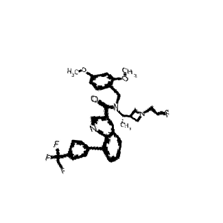 COc1ccc(CN(C(=O)c2cnc3c(-c4ccc(C(F)(F)F)cc4)cccc3c2)[C@@H](C)C2CN(CCF)C2)c(OC)c1